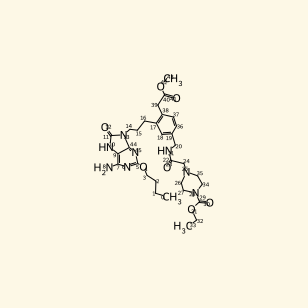 CCCCOc1nc(N)c2[nH]c(=O)n(CCCc3cc(CNC(=O)CN4CCN(C(=O)OCC)CC4)ccc3CC(=O)OC)c2n1